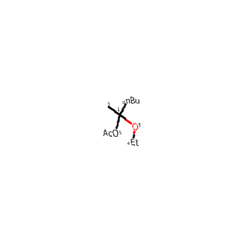 CCCCC(C)(OCC)OC(C)=O